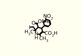 COC(=O)C1C(c2cccc([N+](=O)[O-])c2)C(C(=O)O)=C(C)NC1(C)CI